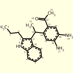 CCCc1[nH]c2ccccc2c1C(C)c1cc(N)c(N)cc1C(C)=O